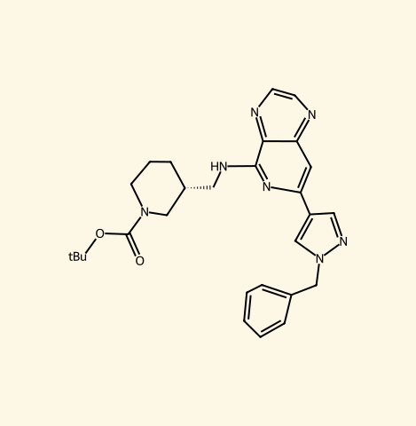 CC(C)(C)OC(=O)N1CCC[C@H](CNc2nc(-c3cnn(Cc4ccccc4)c3)cc3nccnc23)C1